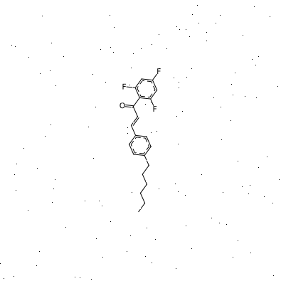 CCCCCCc1ccc(C=CC(=O)c2c(F)cc(F)cc2F)cc1